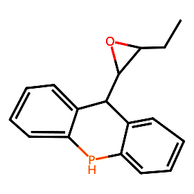 CCC1OC1C1c2ccccc2Pc2ccccc21